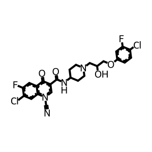 N#Cn1cc(C(=O)NC2CCN(CC(O)COc3ccc(Cl)c(F)c3)CC2)c(=O)c2cc(F)c(Cl)cc21